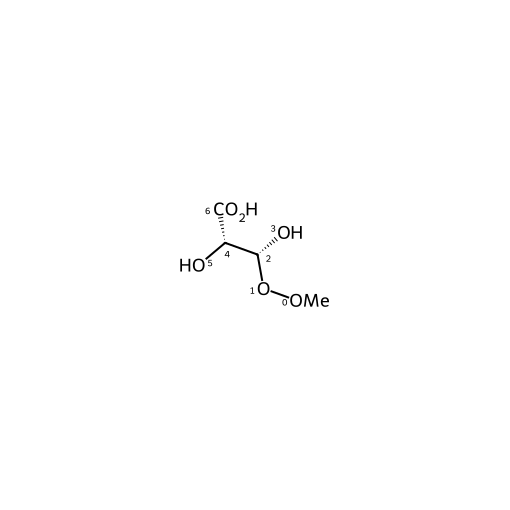 COO[C@@H](O)[C@H](O)C(=O)O